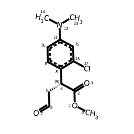 COC(=O)[C@H](CC=O)c1ccc(N(C)C)cc1Cl